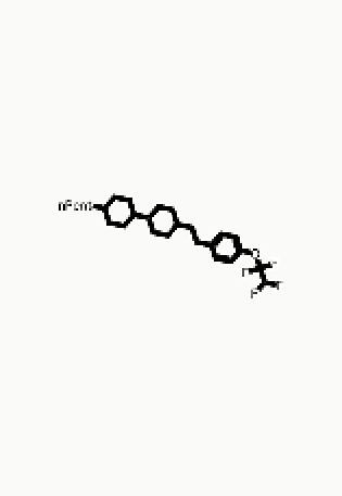 CCCCCC1CCC(C2CCC(CCc3ccc(OC(F)(F)C(F)F)cc3)CC2)CC1